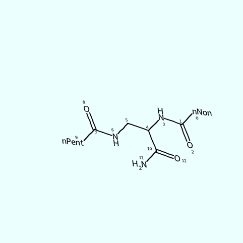 CCCCCCCCCC(=O)NC(CNC(=O)CCCCC)C(N)=O